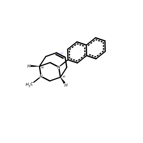 CN1C[C@H]2C/C=C\C[C@@H]1CN2c1ccc2ccccc2c1